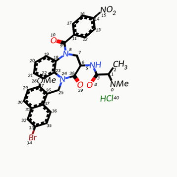 CNC(C)C(=O)NC1CN(C(=O)c2ccc([N+](=O)[O-])cc2)c2ccccc2N(Cc2c(OC)ccc3cc(Br)ccc23)C1=O.Cl